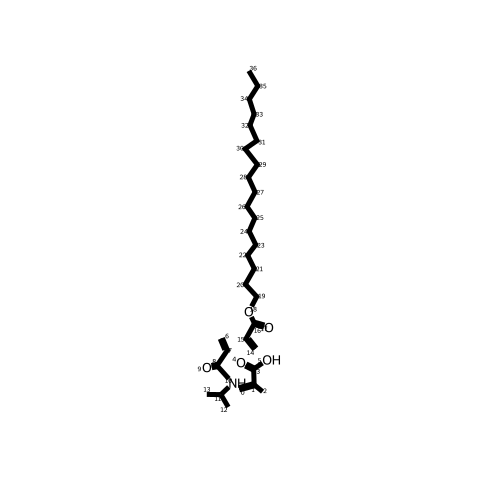 C=C(C)C(=O)O.C=CC(=O)NC(C)C.C=CC(=O)OCCCCCCCCCCCCCCCCCC